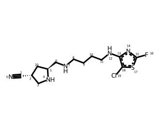 N#C[C@H]1CN[C@H](CNCCCCNc2nc(F)sc2Cl)C1